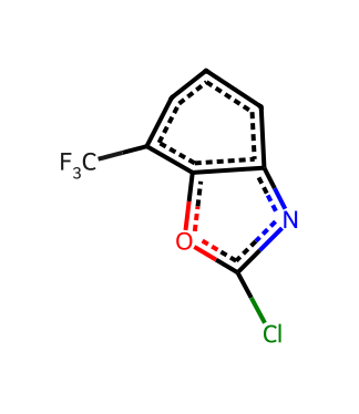 FC(F)(F)c1cccc2nc(Cl)oc12